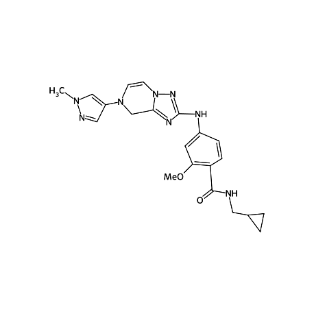 COc1cc(Nc2nc3n(n2)C=CN(c2cnn(C)c2)C3)ccc1C(=O)NCC1CC1